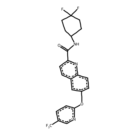 O=C(NC1CCC(F)(F)CC1)c1ccc2cc(Oc3ccc(C(F)(F)F)cn3)ccc2n1